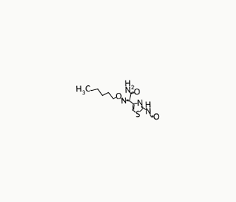 CCCCCCON=C(C(N)=O)c1csc(NC=O)n1